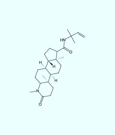 C=CC(C)(C)NC(=O)C1CC[C@H]2[C@@H]3CCC4N(C)C(=O)CC[C@]4(C)[C@@H]3CC[C@]12C